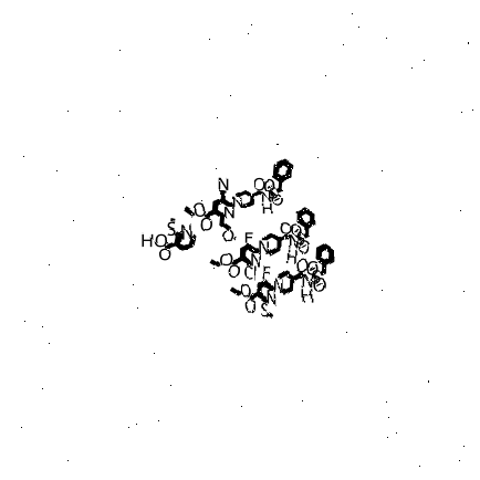 CCOC(=O)c1cc(C#N)c(N2CCC(C(=O)NS(=O)(=O)Cc3ccccc3)CC2)nc1CCOC.CCOC(=O)c1cc(F)c(N2CCC(C(=O)NS(=O)(=O)Cc3ccccc3)CC2)nc1Cl.CCOC(=O)c1cc(F)c(N2CCC(C(=O)NS(=O)(=O)Cc3ccccc3)CC2)nc1SC.CSc1ncccc1C(=O)O